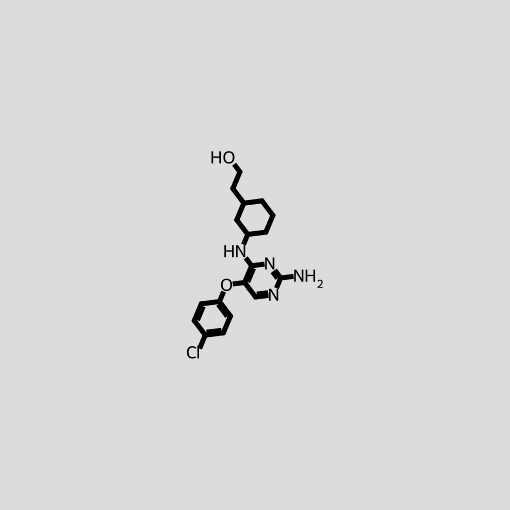 Nc1ncc(Oc2ccc(Cl)cc2)c(NC2CCCC(CCO)C2)n1